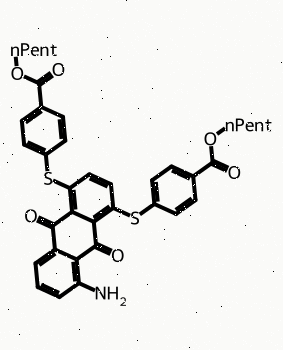 CCCCCOC(=O)c1ccc(Sc2ccc(Sc3ccc(C(=O)OCCCCC)cc3)c3c2C(=O)c2cccc(N)c2C3=O)cc1